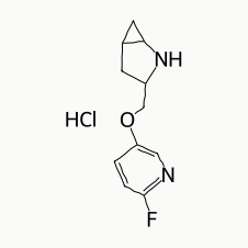 Cl.Fc1ccc(OCC2CC3CC3N2)cn1